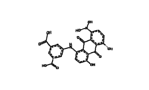 O=C(O)c1cc(Nc2ccc(O)c3c2C(=O)c2c(N(O)O)ccc(O)c2C3=O)cc(C(=O)O)c1